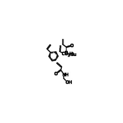 C=CC(=O)NCO.C=CC(=O)O.C=CC(=O)OCCCC.C=Cc1ccccc1